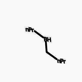 CCCBCCCC